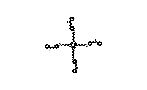 C[Si]1(CCCCCCOc2ccc(C=CC(=O)c3ccccc3)cc2)O[Si](C)(CCCCCCOc2ccc(C=CC(=O)c3ccccc3)cc2)O[Si](C)(CCCCCCOc2ccc(C=CC(=O)c3ccccc3)cc2)O[Si](C)(CCCCCCOc2ccc(C=CC(=O)c3ccccc3)cc2)O1